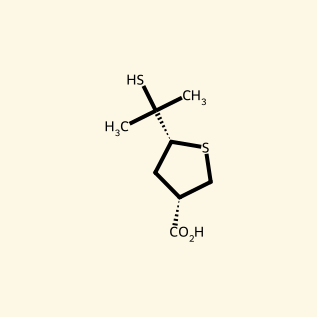 CC(C)(S)[C@H]1C[C@@H](C(=O)O)CS1